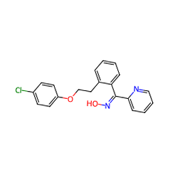 ON=C(c1ccccn1)c1ccccc1CCOc1ccc(Cl)cc1